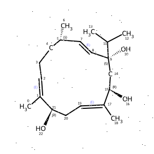 C/C1=C\CC[C@H](C)/C=C/[C@@](O)(C(C)C)C[C@@H](O)/C(C)=C/C[C@H]1O